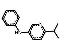 CC(C)c1ccc(Nc2ccccc2)cn1